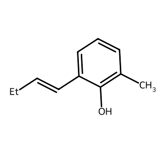 CC/C=C/c1cccc(C)c1O